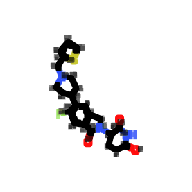 O=C1CCC(N2Cc3cc(C4CCN(Cc5cccs5)CC4)c(F)cc3C2=O)C(=O)N1